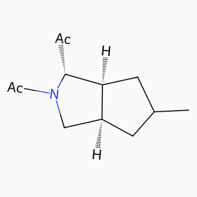 CC(=O)[C@@H]1[C@H]2CC(C)C[C@H]2CN1C(C)=O